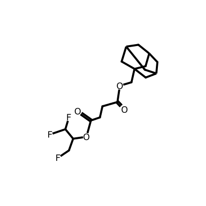 O=C(CCC(=O)OC(CF)C(F)F)OCC12CC3CC(CC(C3)C1)C2